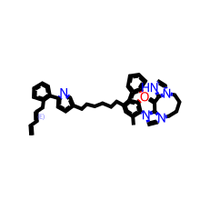 C=C/C=C/Cc1ccccc1-c1ccc(CCCCCCc2cc(C)c(N3C=CN4CCCCN5C=CNC5C(=C)C43)c3oc4ccccc4c23)cn1